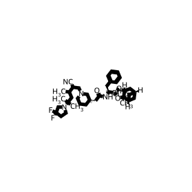 CC(CC(C)(C)N1CCC(F)(F)C1)C(C#N)CN1CCC[C@@H](CC(=O)N[C@@H](Cc2ccccc2)B2O[C@@H]3C[C@@H]4C[C@@H](C4(C)C)[C@]3(C)O2)C1